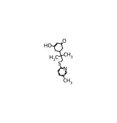 Cc1ccc(SCC(C)(C)C2CC(=O)C=C(O)C2)nc1